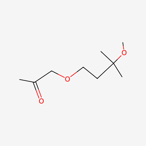 COC(C)(C)CCOCC(C)=O